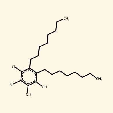 CCCCCCCCc1c(O)c(O)c(Cl)c(Cl)c1CCCCCCCC